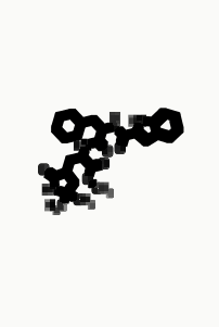 COC(=O)C(CC1CC(C)(C)NC1=O)NC(=O)C(CC1CCCCC1)NC(=O)c1cc2ccccc2[nH]1